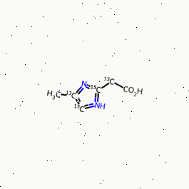 C[13c]1[13cH][nH][13c]([13CH2][13C](=O)O)n1